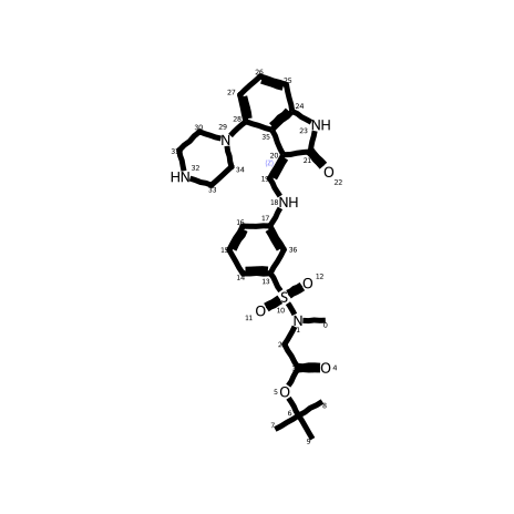 CN(CC(=O)OC(C)(C)C)S(=O)(=O)c1cccc(N/C=C2\C(=O)Nc3cccc(N4CCNCC4)c32)c1